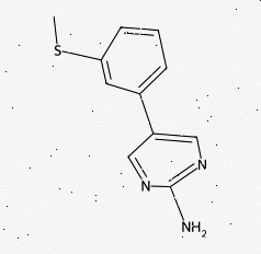 CSc1cccc(-c2cnc(N)nc2)c1